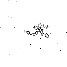 Cc1nc(CN(C)CC2CCOCC2)c(-c2ccc(OCCc3ccc(F)cc3)cc2)c(N2CCC(C)(C)CC2)c1C(OC(C)(C)C)C(=O)O